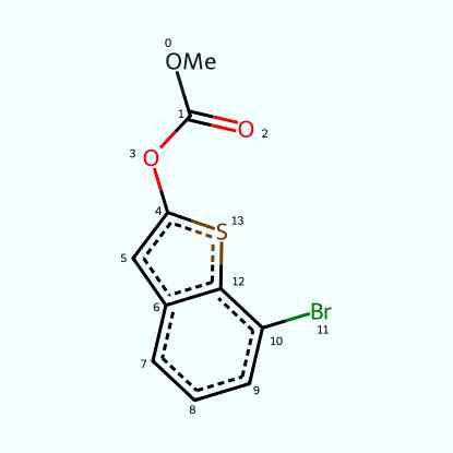 COC(=O)Oc1cc2cccc(Br)c2s1